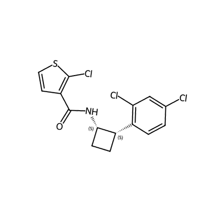 O=C(N[C@H]1CC[C@H]1c1ccc(Cl)cc1Cl)c1ccsc1Cl